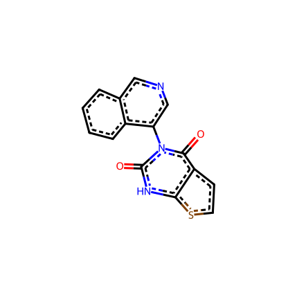 O=c1[nH]c2sccc2c(=O)n1-c1cncc2ccccc12